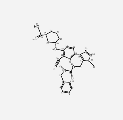 CN(Cc1ccccc1)C(=O)OCc1c(-c2ccc(O[C@H]3CCC[C@H](C(=O)O)C3)c(C#N)n2)nnn1C